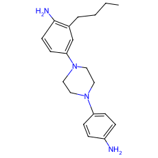 CCCCc1cc(N2CCN(c3ccc(N)cc3)CC2)ccc1N